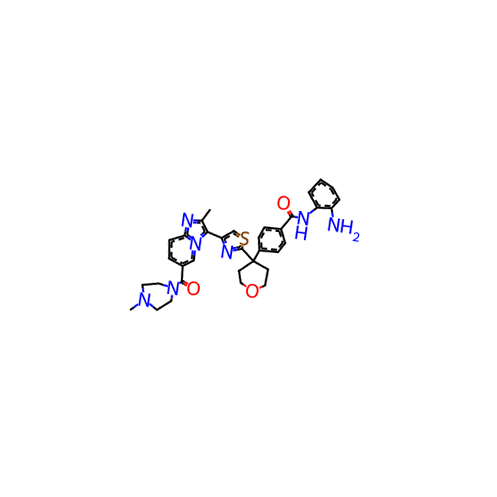 Cc1nc2ccc(C(=O)N3CCN(C)CC3)cn2c1-c1csc(C2(c3ccc(C(=O)Nc4ccccc4N)cc3)CCOCC2)n1